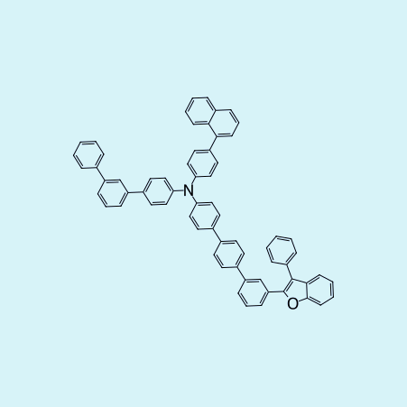 c1ccc(-c2cccc(-c3ccc(N(c4ccc(-c5ccc(-c6cccc(-c7oc8ccccc8c7-c7ccccc7)c6)cc5)cc4)c4ccc(-c5cccc6ccccc56)cc4)cc3)c2)cc1